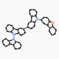 c1ccc2c(c1)oc1ccc(-n3c4ccccc4c4cc(-c5ccc6c(c5)c5ccccc5n6-n5c6ccccc6c6ccccc65)ccc43)cc12